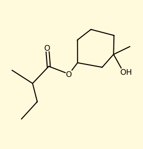 CCC(C)C(=O)OC1CCCC(C)(O)C1